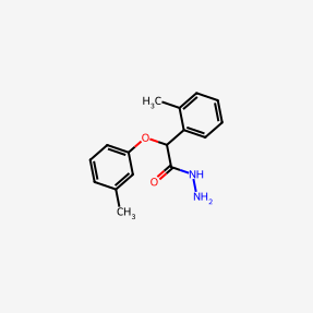 Cc1cccc(OC(C(=O)NN)c2ccccc2C)c1